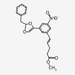 COC(=O)CCC=Cc1cc(C2=COC(Cc3ccccc3)O2)cc([N+](=O)[O-])c1